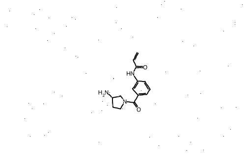 C=CC(=O)Nc1cccc(C(=O)N2CCC(N)C2)c1